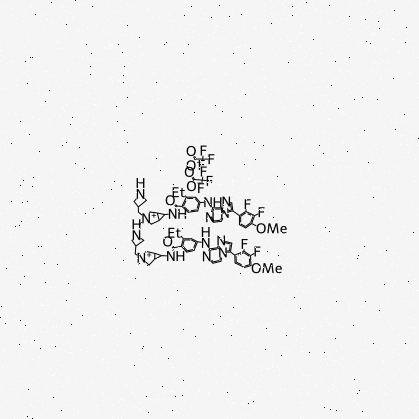 CCc1cc(Nc2nccn3c(-c4ccc(OC)c(F)c4F)cnc23)ccc1C(=O)NC1C2C[N+](C)(CC3CNC3)CC21.CCc1cc(Nc2nccn3c(-c4ccc(OC)c(F)c4F)cnc23)ccc1C(=O)NC1C2C[N+](C)(CC3CNC3)CC21.O=C([O-])C(F)(F)F.O=C([O-])C(F)(F)F